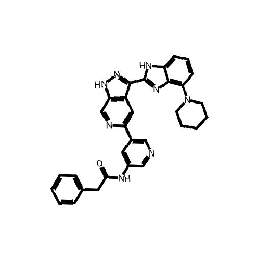 O=C(Cc1ccccc1)Nc1cncc(-c2cc3c(-c4nc5c(N6CCCCC6)cccc5[nH]4)n[nH]c3cn2)c1